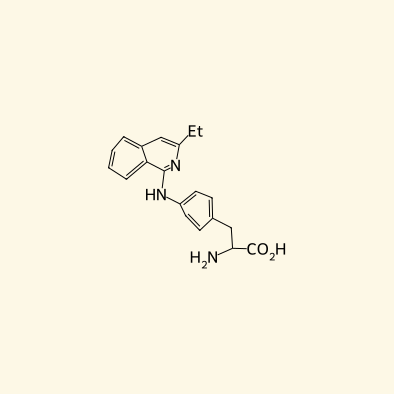 CCc1cc2ccccc2c(Nc2ccc(CC(N)C(=O)O)cc2)n1